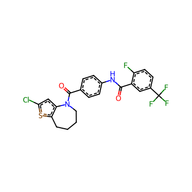 O=C(Nc1ccc(C(=O)N2CCCCc3sc(Cl)cc32)cc1)c1cc(C(F)(F)F)ccc1F